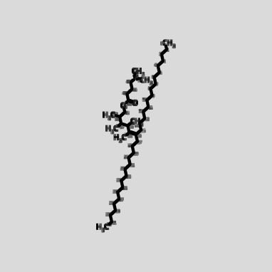 CCCCCCCCCCCCCCCCC(CCCCCCCCCCCCCCCC)=C(C)C(C)C(C)C(C)COC(=O)CCCN(C)C